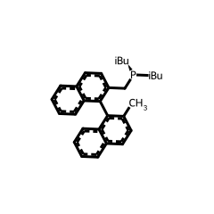 CCC(C)P(Cc1ccc2ccccc2c1-c1c(C)ccc2ccccc12)[C@H](C)CC